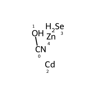 N#CO.[Cd].[SeH2].[Zn]